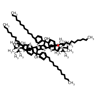 CCCCCCCCCCCCc1ccc(C(O)(c2ccc(CCCCCCCCCCCC)cc2)c2c(-c3cc4sc([Si](C(C)C)(C(C)C)C(C)C)cc4s3)sc3c(C(O)(c4ccc(CCCCCCCCCCCC)cc4)c4ccc(CCCCCCCCCCCC)cc4)c(-c4cc5sc([Si](C(C)C)(C(C)C)C(C)C)cc5s4)sc23)cc1